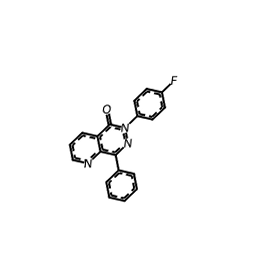 O=c1c2cccnc2c(-c2ccccc2)nn1-c1ccc(F)cc1